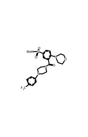 CNS(=O)(=O)c1ccc(N2CCOCC2)c(C(=O)N2CCN(c3ccc(C(F)(F)F)cc3)CC2)c1